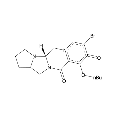 CCCCOc1c2n(cc(Br)c1=O)C[C@@H]1N(CC3CCCN31)C2=O